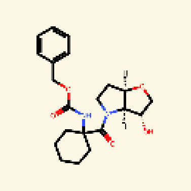 O=C(NC1(C(=O)N2CC[C@H]3OC[C@H](O)[C@H]32)CCCCC1)OCc1ccccc1